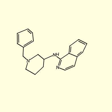 c1ccc(CN2CCCC(Nc3nccc4ccccc34)C2)cc1